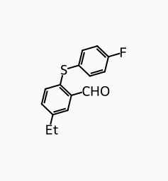 CCc1ccc(Sc2ccc(F)cc2)c(C=O)c1